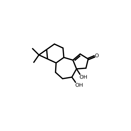 CC1(C)C2CCC3C4=CC(=O)CC4(O)C(O)CCC3C21